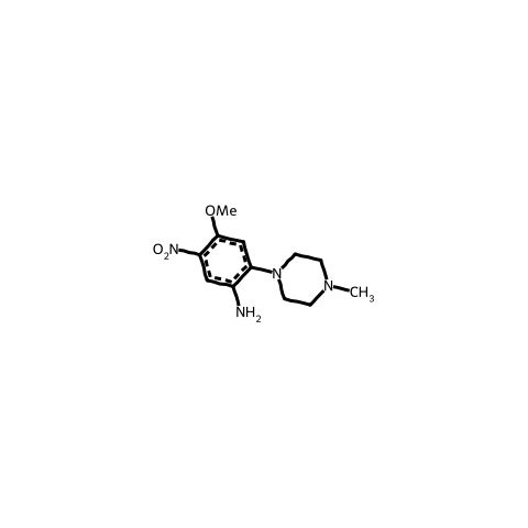 COc1cc(N2CCN(C)CC2)c(N)cc1[N+](=O)[O-]